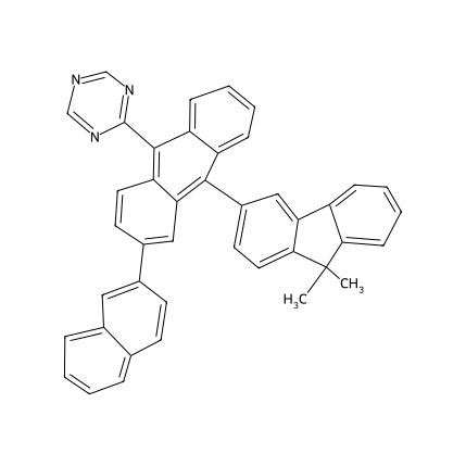 CC1(C)c2ccccc2-c2cc(-c3c4ccccc4c(-c4ncncn4)c4ccc(-c5ccc6ccccc6c5)cc34)ccc21